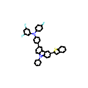 Fc1ccc(N(c2ccc(-c3ccc4c(c3)c3cc(-c5cc6ccccc6s5)ccc3n4-c3ccccc3)cc2)c2cc(F)cc(F)c2)cc1